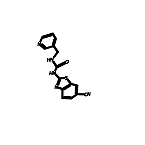 N#Cc1ccc2nc(NC(=O)NCc3cccnc3)sc2c1